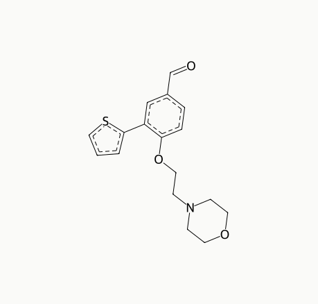 O=Cc1ccc(OCCN2CCOCC2)c(-c2cccs2)c1